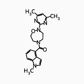 Cc1cc(C)nc(N2CCN(C(=O)c3cccc4c3ccn4C)CCO2)n1